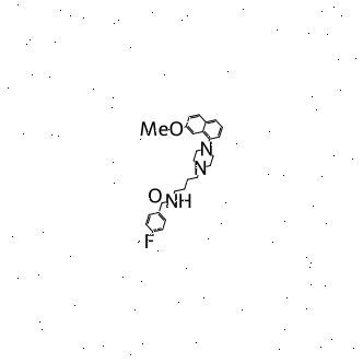 COc1ccc2cccc(N3CCN(CCCCNC(=O)c4ccc(F)cc4)CC3)c2c1